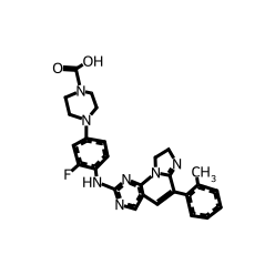 Cc1ccccc1C1=Cc2cnc(Nc3ccc(N4CCN(C(=O)O)CC4)cc3F)nc2N2CCN=C12